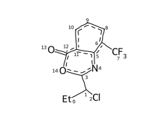 CCC(Cl)c1nc2c(C(F)(F)F)cccc2c(=O)o1